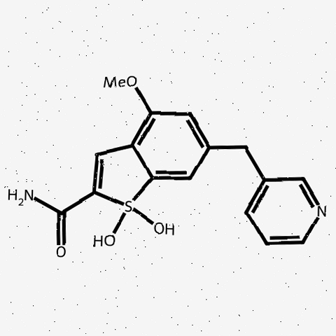 COc1cc(Cc2cccnc2)cc2c1C=C(C(N)=O)S2(O)O